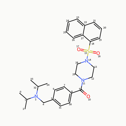 CC(C)N(Cc1ccc(C(=O)N2CCN(S(=O)(=O)c3cccc4ccccc34)CC2)cc1)C(C)C